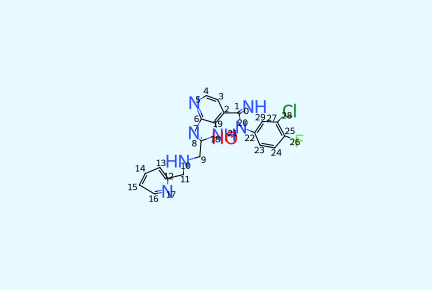 N=C(c1ccnc2nc(CNCc3ccccn3)[nH]c12)N(O)c1ccc(F)c(Cl)c1